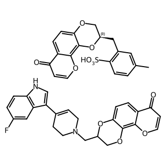 Cc1ccc(S(=O)(=O)O)c(C[C@@H]2COc3ccc4c(=O)ccoc4c3O2)c1.O=c1ccoc2c3c(ccc12)OC(CN1CC=C(c2c[nH]c4ccc(F)cc24)CC1)CO3